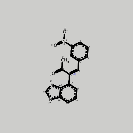 CC(=O)/C(=C\c1cccc([N+](=O)[O-])c1)c1cccc2ncsc12